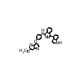 COc1cnc2c(Oc3ccc(Nc4nnc(-c5cccc6[nH]ccc56)c5ccccc45)cc3)ccnc2c1